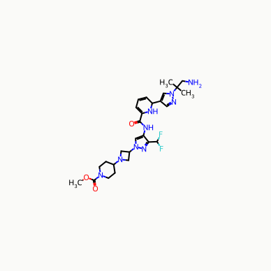 COC(=O)N1CCC(N2CC(n3cc(NC(=O)C4=CC=CC(c5cnn(C(C)(C)CN)c5)N4)c(C(F)F)n3)C2)CC1